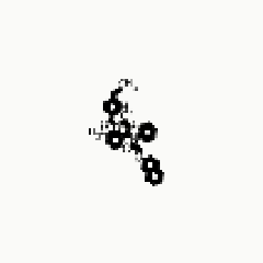 CCCc1ccc(C(=O)N2c3c(C)cccc3C(N(C(=O)COc3ccc4ccccc4c3)c3ccccc3C)CC2C)cc1